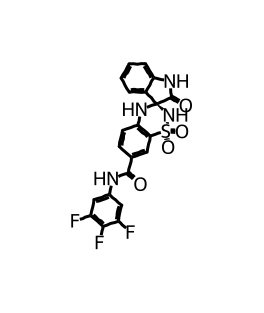 O=C(Nc1cc(F)c(F)c(F)c1)c1ccc2c(c1)S(=O)(=O)N[C@]1(N2)C(=O)Nc2ccccc21